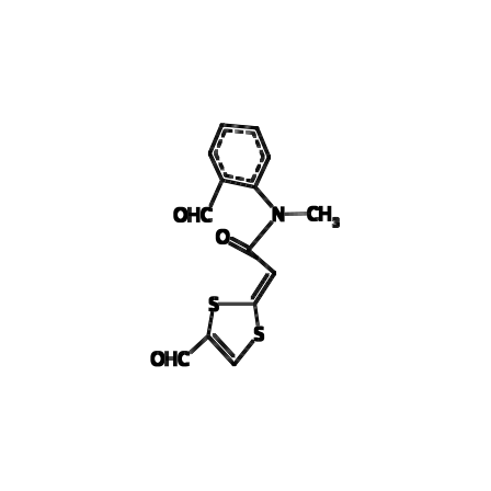 CN(C(=O)/C=C1/SC=C(C=O)S1)c1ccccc1C=O